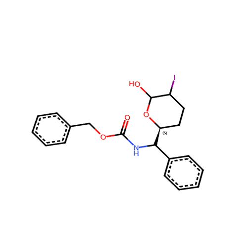 O=C(NC(c1ccccc1)[C@@H]1CCC(I)C(O)O1)OCc1ccccc1